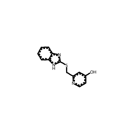 Oc1ccnc(CSc2nc3ccccc3[nH]2)c1